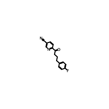 N#Cc1ccc(C(=O)CCCc2ccc(F)cc2)nc1